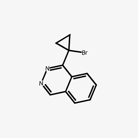 BrC1(c2nncc3ccccc23)CC1